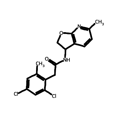 Cc1ccc2c(n1)OCC2NC(=O)Cc1c(C)cc(Cl)cc1Cl